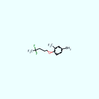 Bc1ccc(OCCCC(F)(F)C(F)(F)F)c(C(F)(F)F)c1